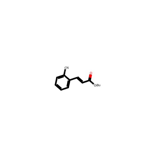 CC(C)COC(=O)C=Cc1ccccc1C#N